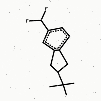 CC(C)(C)C1Cc2ccc(C(F)F)cc2C1